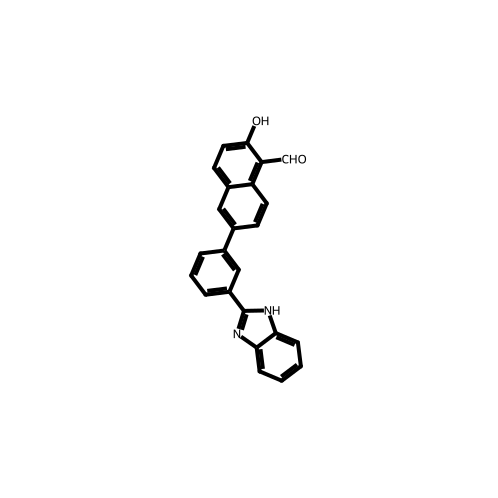 O=Cc1c(O)ccc2cc(-c3cccc(-c4nc5ccccc5[nH]4)c3)ccc12